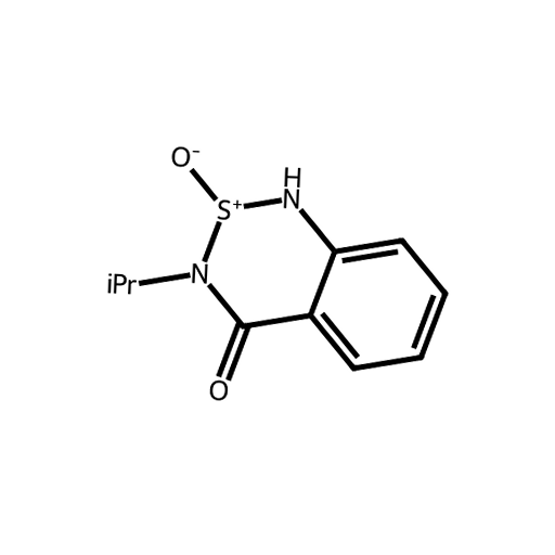 CC(C)N1C(=O)c2ccccc2N[S+]1[O-]